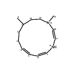 CC1CC/C=C\C=C/N/C=C\N(C)CC1